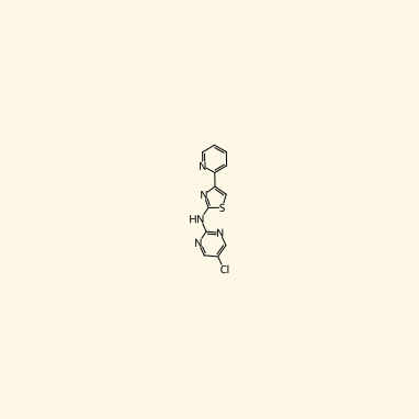 Clc1cnc(Nc2nc(-c3ccccn3)cs2)nc1